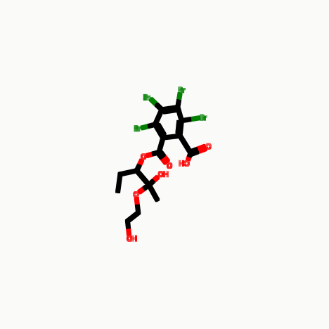 CCC(OC(=O)c1c(Br)c(Br)c(Br)c(Br)c1C(=O)O)C(C)(O)OCCO